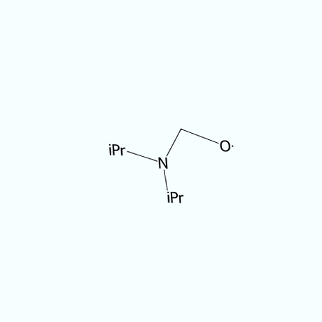 CC(C)N(C[O])C(C)C